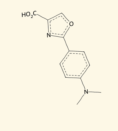 CN(C)c1ccc(-c2nc(C(=O)O)co2)cc1